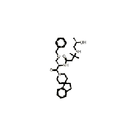 C[C@@H](O)CNC(C)(C)CC(=O)N[C@H](COCc1ccccc1)C(=O)N1CCC2(CCc3ccccc32)CC1